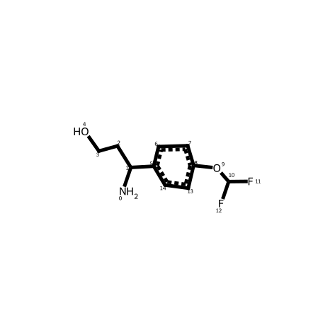 NC(CCO)c1ccc(OC(F)F)cc1